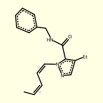 C/C=C\C=C/n1ncc(CC)c1C(=O)NCc1ccccc1